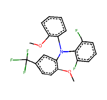 COc1ccccc1N(c1cc(C(F)(F)F)ccc1OC)c1c(F)cccc1F